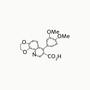 COc1ccc(-c2c(C(=O)O)cnc3c4c(ccc23)OCCO4)cc1OC